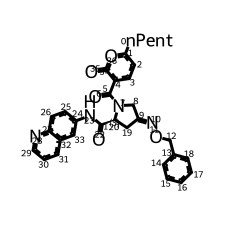 CCCCCc1ccc(C(=O)N2CC(=NOCc3ccccc3)C[C@H]2C(=O)Nc2ccc3ncccc3c2)c(=O)o1